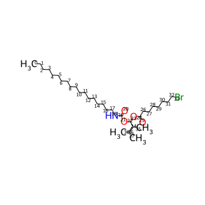 CCCCCCCCCCCCCCCCCCNC(=O)OC(OC(=O)CCCCCCCBr)C(C)=C(C)C